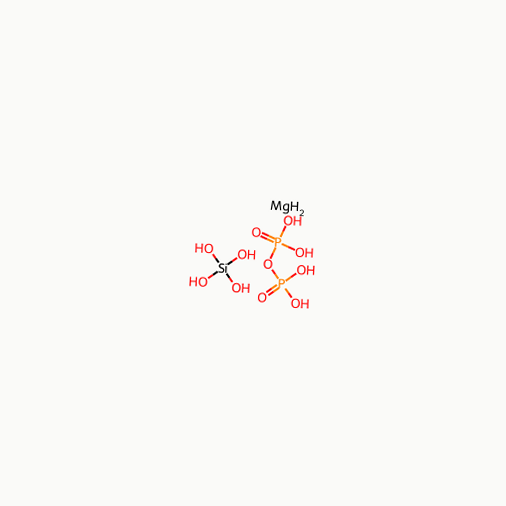 O=P(O)(O)OP(=O)(O)O.O[Si](O)(O)O.[MgH2]